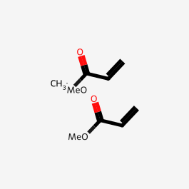 C=CC(=O)OC.C=CC(=O)OC.[CH3]